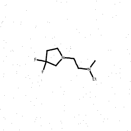 CCN(C)CCN1CCC(F)(F)C1